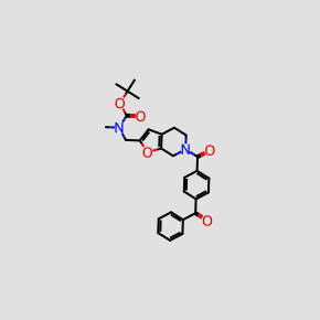 CN(Cc1cc2c(o1)CN(C(=O)c1ccc(C(=O)c3ccccc3)cc1)CC2)C(=O)OC(C)(C)C